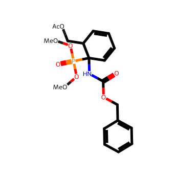 COOP(=O)(OOC)C1(NC(=O)OCc2ccccc2)C=CC=CC1COC(C)=O